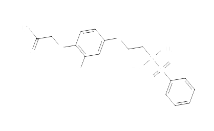 C[N+](C)(CCSc1ccc(OCC(N)=O)c(F)c1)S(=O)(=O)c1ccccc1